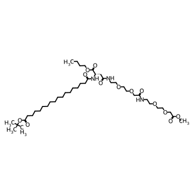 CCCCOC(=O)[C@H](CC(=O)NCCOCCOCC(=O)NCCOCCOCC(=O)OC)NC(=O)CCCCCCCCCCCCCCCCC(=O)OC(C)(C)C